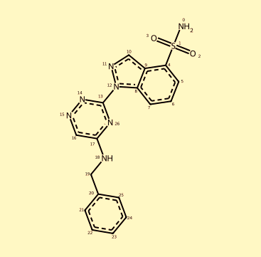 NS(=O)(=O)c1cccc2c1cnn2-c1nncc(NCc2ccccc2)n1